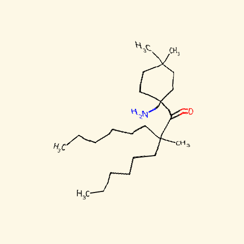 CCCCCCC(C)(CCCCCC)C(=O)C1(N)CCC(C)(C)CC1